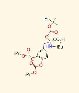 CCC(C)N[C@@](Cc1ccc(OC(=O)OC(C)C)c(OC(=O)OC(C)C)c1)(OC(=O)OC(C)(C)CC)C(=O)O